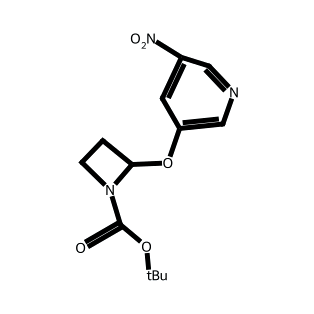 CC(C)(C)OC(=O)N1CCC1Oc1cncc([N+](=O)[O-])c1